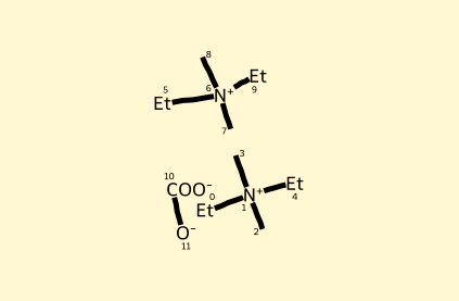 CC[N+](C)(C)CC.CC[N+](C)(C)CC.O=C([O-])[O-]